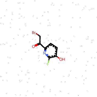 O=C(CBr)c1ccc(O)c(F)n1